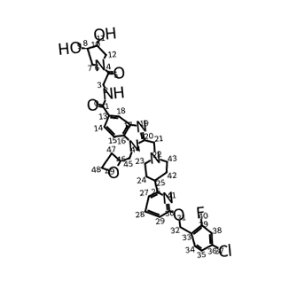 O=C(NCC(=O)N1C[C@@H](O)[C@@H](O)C1)c1ccc2c(c1)nc(CN1CCC(c3cccc(OCc4ccc(Cl)cc4F)n3)CC1)n2C[C@@H]1CCO1